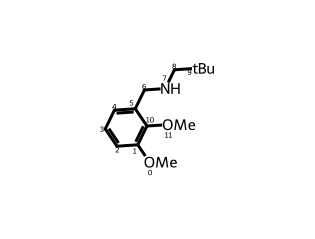 COc1cccc(CNCC(C)(C)C)c1OC